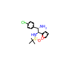 CC(C)(C)[S@@+]([O-])N[C@H](c1ccco1)[C@@H](N)c1ccc(Cl)cc1